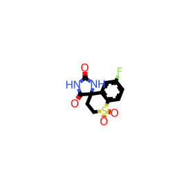 O=C1NC(=O)C2(CCS(=O)(=O)c3ccc(F)cc32)N1